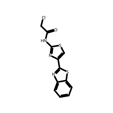 O=C(CCl)Nc1nc(-c2nc3ccccc3s2)cs1